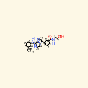 O=C(NCCO)c1cccc(-c2cnc3c(Nc4cccc(C(F)(F)F)c4)nccn23)c1